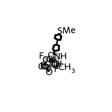 CSc1ccc(-c2ccc([C@H](N[C@@H](CC(C)(C)F)C(=O)N[C@@H]3C(=O)CO[C@@H]3C)C(F)(F)F)cc2)cc1